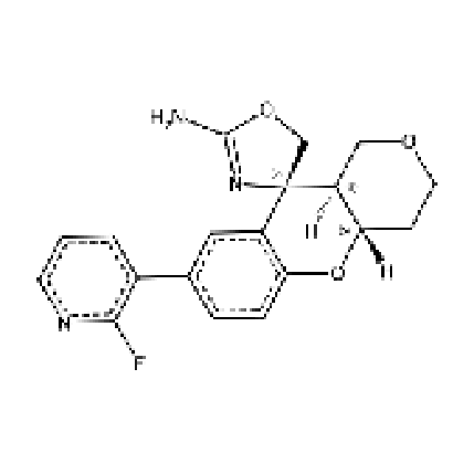 NC1=N[C@@]2(CO1)c1cc(-c3cccnc3F)ccc1O[C@H]1CCOC[C@@H]12